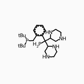 CC(C)(C)P(Cc1ccccc1C(P)(C1CNCCN1)C1CNCCN1)C(C)(C)C